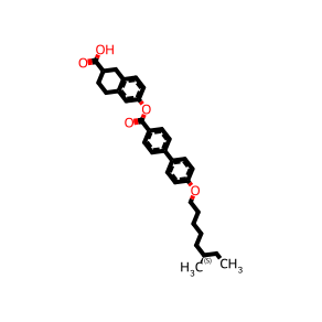 CC[C@H](C)CCCCCOc1ccc(-c2ccc(C(=O)Oc3ccc4c(c3)CCC(C(=O)O)C4)cc2)cc1